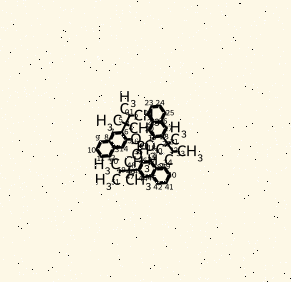 CC(C)C(C)(C)c1cc2ccccc2cc1OP(Oc1cc2ccccc2cc1C(C)(C)C(C)C)Oc1cc2ccccc2cc1C(C)(C)C(C)C